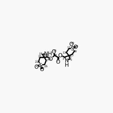 O=C(OC1NCC12CCS(=O)(=O)CC2)C(=O)OC1NCC12CCS(=O)(=O)CC2